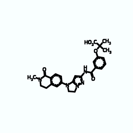 CN1CCc2cc(N3CCn4nc(NC(=O)c5cccc(OC(C)(C)C(=O)O)c5)cc43)ccc2C1=O